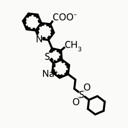 Cc1c(-c2cc(C(=O)[O-])c3ccccc3n2)sc2ccc(CCS(=O)(=O)C3CCCCC3)cc12.[Na+]